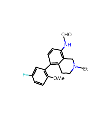 CCN1CCc2c(-c3cc(F)ccc3OC)ccc(NC=O)c2C1